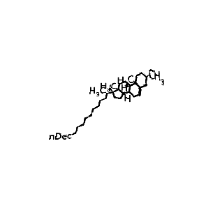 CCCCCCCCCCCCCCCCCCC[C@@H](C)[C@@]1(I)CC[C@H]2C3CC=C4C[C@@H](C)CC[C@]4(C)[C@H]3CC[C@@]21C